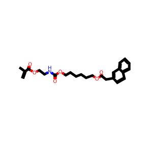 C=C(C)C(=O)OCCNC(=O)OCCCCCCOC(=O)Cc1ccc2ccccc2c1